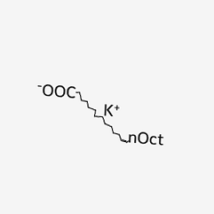 CCCCCCCC/C=C\CCCCCCCCCCCC(=O)[O-].[K+]